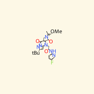 COC[C@H](C)N1Cc2c(n(CC(=O)Nc3ccc(F)cn3)c3cc(C(C)(C)C)nn3c2=O)C1=O